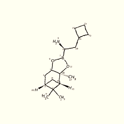 CC1(C)[C@@H]2CC3OB([C@@H](N)CC4CCC4)O[C@@]3(C)[C@H]1C2